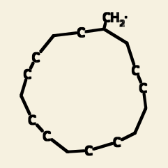 [CH2]C1CCCCCCCCCCCCCCC1